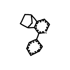 c1ccc(-c2nccc3c2C2CCC3C2)cc1